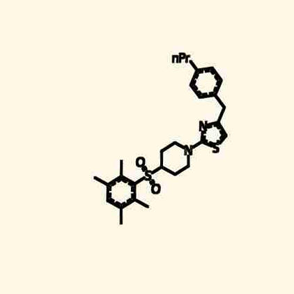 CCCc1ccc(Cc2csc(N3CCC(S(=O)(=O)c4c(C)c(C)cc(C)c4C)CC3)n2)cc1